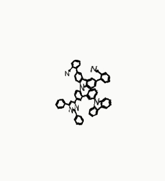 N#Cc1ccccc1-c1ccc2c(c1)c1cc(-c3ccccc3C#N)ccc1n2-c1ccc(-c2cc(-c3ccccc3)nc(-c3ccccc3)n2)cc1-c1cccc(-n2c3ccccc3c3ccccc32)c1